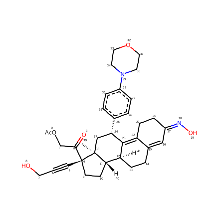 CC(=O)OCC(=O)[C@@]1(C#CCO)CC[C@H]2[C@@H]3CCC4=CC(=NO)CCC4=C3[C@@H](c3ccc(N4CCOCC4)cc3)C[C@@]21C